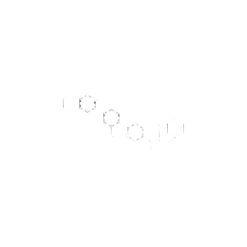 CN(c1cnc(-c2ccc(-c3cc4c(nn3)OCCO4)cc2O)nn1)[C@H]1C[C@@H]2CCC[C@@H](C2)[C@H]1F